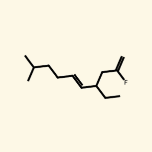 C=C(F)CC(/C=C/CCC(C)C)CC